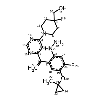 C=C(c1cc(N2CCC(F)(CO)CC2)ncn1)c1cc(OC2(C)CC2)c(F)cc1NN